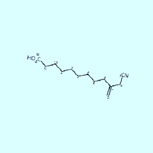 C=C(CC#N)CCCCCCCCC(=O)O